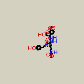 COC(=O)NCCCC[C@H](NC(=O)N[C@@H](CC(=O)O)c1ccc2c(c1)OCO2)C(=O)NCCc1ccc(O)cc1